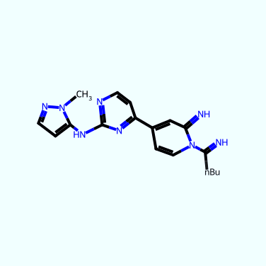 CCCCC(=N)n1ccc(-c2ccnc(Nc3ccnn3C)n2)cc1=N